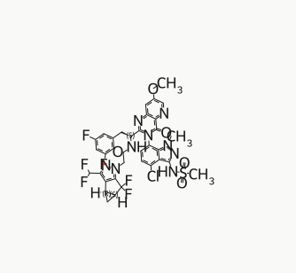 COc1cnc2c(=O)n(-c3ccc(Cl)c4c(NS(C)(=O)=O)nn(C)c34)c([C@H](Cc3cc(F)cc(F)c3)NC(=O)Cn3nc(C(F)F)c4c3C(F)(F)[C@H]3C[C@@H]43)nc2c1